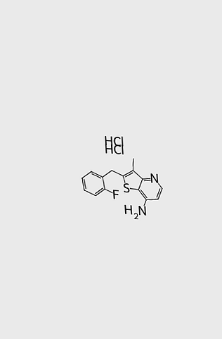 Cc1c(Cc2ccccc2F)sc2c(N)ccnc12.Cl.Cl